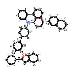 c1ccc(-c2ccccc2N(c2ccc(-c3ccc(-c4ccccc4-c4cc5ccccc5o4)cc3)cc2)c2ccc(-c3ccc4ccccc4c3)cc2)cc1